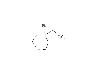 C[CH]C1(COC)CCCCC1